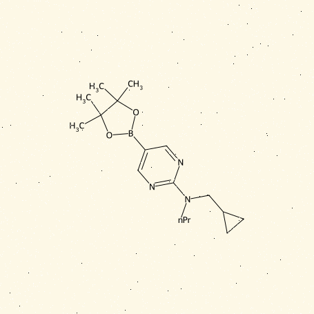 CCCN(CC1CC1)c1ncc(B2OC(C)(C)C(C)(C)O2)cn1